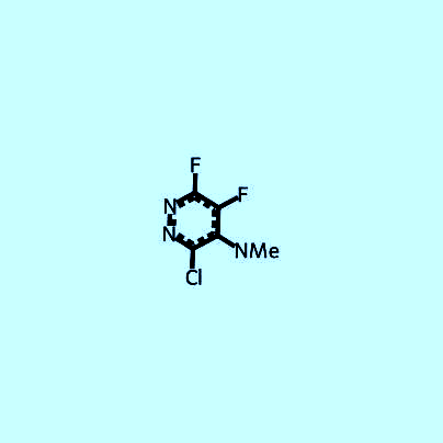 CNc1c(Cl)nnc(F)c1F